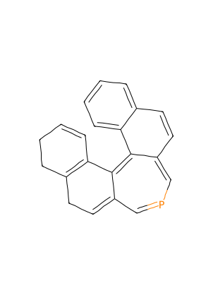 C1=CC2=C(CC=C3C=PC=c4ccc5ccccc5c4=C32)CC1